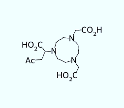 CC(=O)CC(C(=O)O)N1CCN(CC(=O)O)CCN(CC(=O)O)CC1